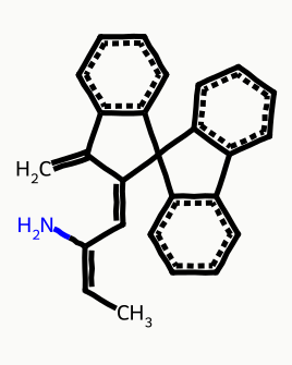 C=C1/C(=C\C(N)=C/C)C2(c3ccccc31)c1ccccc1-c1ccccc12